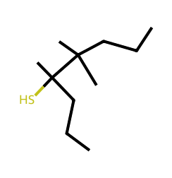 CCCC(C)(C)C(C)(S)CCC